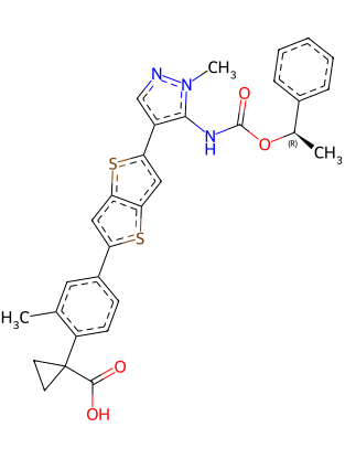 Cc1cc(-c2cc3sc(-c4cnn(C)c4NC(=O)O[C@H](C)c4ccccc4)cc3s2)ccc1C1(C(=O)O)CC1